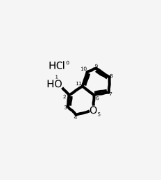 Cl.OC1=CCOc2ccccc21